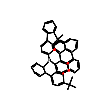 CC(C)(C)c1ccc(C2C=CC=CC2N(c2ccc3c(c2)C(C)(C)c2ccccc2-3)c2ccccc2-c2cccc3cccc(-c4ccccc4)c23)cc1